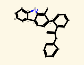 C=C(Cc1ccccc1)c1ccccc1-c1ccc2c([nH]c3ccccc32)c1C